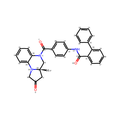 O=C1C[C@H]2CN(C(=O)c3ccc(NC(=O)c4ccccc4-c4ccccc4)cc3)c3ccccc3N2C1